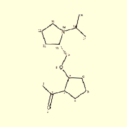 CC(=O)C1CCCC1OC[C@@H]1CCCN1C(C)C